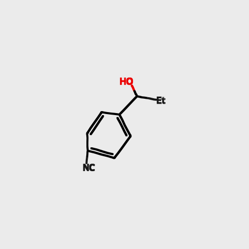 [C-]#[N+]c1ccc(C(O)CC)cc1